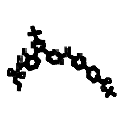 CCCS(=O)(=O)Nc1cccc(-c2nc(C(C)(C)C)sc2-c2ccnc(Nc3ccc(N4CCN(C(=O)OC(C)(C)C)CC4)cn3)n2)c1F